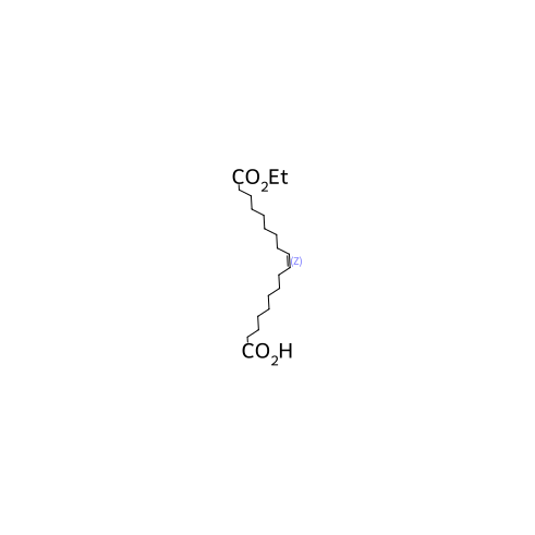 CCOC(=O)CCCCCCC/C=C\CCCCCCCC(=O)O